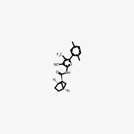 Cc1ccc(C)c(-c2sc(NC(=O)[C@H]3C[C@H]4CC[C@@H]3C4)c(C#N)c2C(F)(F)F)c1